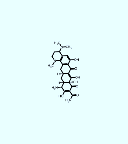 CN1CCC(N(C)C)c2cc(O)c3c(c21)C[C@H]1C[C@H]2[C@H](N)C(O)=C(C(N)=O)C(=O)[C@@]2(O)C(O)=C1C3=O